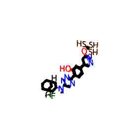 CN(c1cnc(-c2ccc(-c3cnnc(OC(S)(S)S)c3)cc2O)nn1)[C@H]1C[C@@H]2CCC[C@@H](C2)[C@H]1F